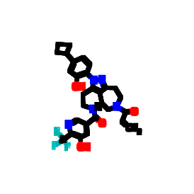 C=CC(=O)N1CCc2nn(-c3ccc(C4CCC4)cc3O)c3c2[C@H](C1)N(C(=O)c1cnc(C(F)(F)F)c(O)c1)CC3